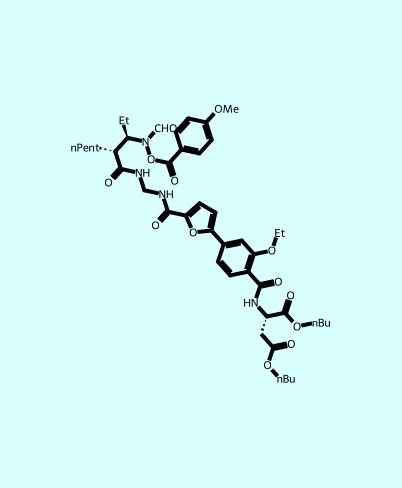 CCCCC[C@@H](C(=O)NCNC(=O)c1ccc(-c2ccc(C(=O)N[C@@H](CC(=O)OCCCC)C(=O)OCCCC)c(OCC)c2)o1)[C@@H](CC)N(C=O)OC(=O)c1ccc(OC)cc1